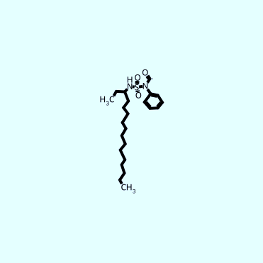 CCCCCCCCCCCCCC(CC)NS(=O)(=O)N([C]=O)c1ccccc1